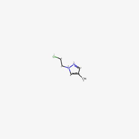 N#Cc1cnn(CCCl)c1